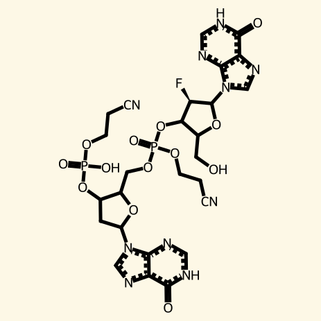 N#CCCOP(=O)(O)OC1CC(n2cnc3c(=O)[nH]cnc32)OC1COP(=O)(OCCC#N)OC1C(CO)OC(n2cnc3c(=O)[nH]cnc32)[C@@H]1F